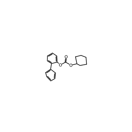 O=C(Oc1ccccc1-c1ccccc1)OC1CCCCC1